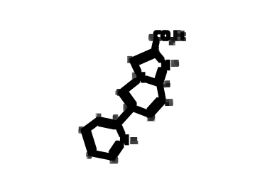 CCOC(=O)c1cn2cc(-c3ccccn3)ccc2n1